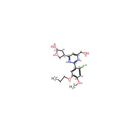 CCCOc1cc(-c2nc(CO)cc([C@H]3COB(O)C3)n2)c(F)cc1OC